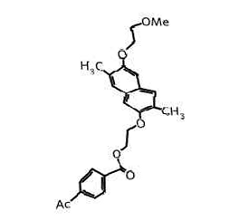 COCCOc1cc2cc(C)c(OCCOC(=O)c3ccc(C(C)=O)cc3)cc2cc1C